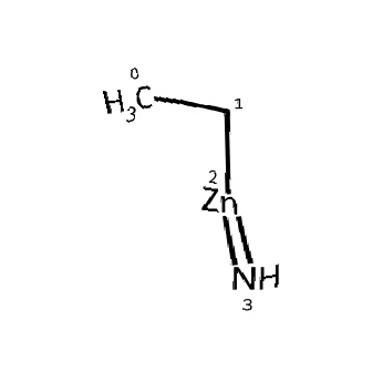 C[CH2][Zn]=[NH]